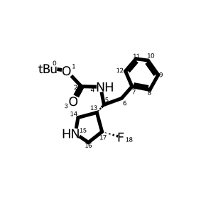 CC(C)(C)OC(=O)NC(Cc1ccccc1)[C@H]1CNC[C@H]1F